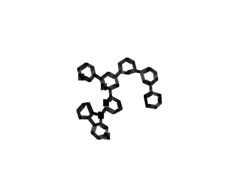 c1ccc(-c2cccc(-c3cccc(-c4cc(-c5cccnc5)nc(-c5cccc(-n6c7ccccc7c7ccncc76)n5)c4)c3)c2)cc1